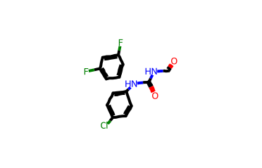 Fc1cccc(F)c1.O=CNC(=O)Nc1ccc(Cl)cc1